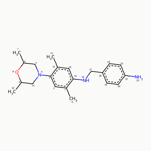 Cc1cc(N2CC(C)OC(C)C2)c(C)cc1NCc1ccc(N)cc1